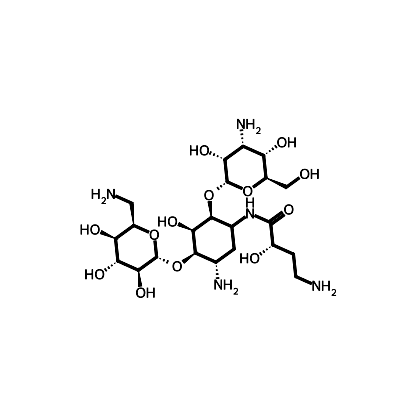 NCC[C@H](O)C(=O)NC1C[C@H](N)[C@@H](O[C@H]2O[C@H](CN)[C@H](O)[C@@H](O)[C@@H]2O)[C@@H](O)[C@H]1O[C@H]1O[C@H](CO)[C@@H](O)[C@@H](N)[C@H]1O